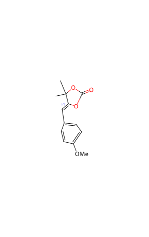 COc1ccc(/C=C2\OC(=O)OC2(C)C)cc1